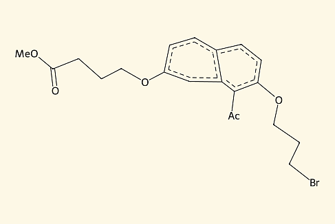 COC(=O)CCCOc1ccc2ccc(OCCCBr)c(C(C)=O)c2c1